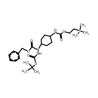 CC(C)(C)OC(=O)NN(C(=O)OCc1ccccc1)C1CCC(NC(=O)OCC[Si](C)(C)C)CC1